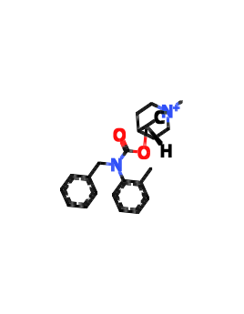 Cc1ccccc1N(Cc1ccccc1)C(=O)O[C@H]1C[N+]2(C)CCC1CC2